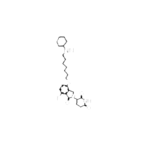 O=C1CCC(N2Cc3c(SCCCCCCCNC4CCCCC4)ccc(F)c3C2=O)C(=O)N1